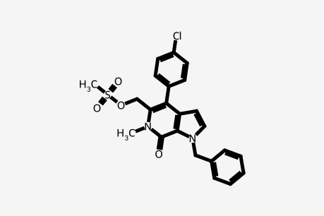 Cn1c(COS(C)(=O)=O)c(-c2ccc(Cl)cc2)c2ccn(Cc3ccccc3)c2c1=O